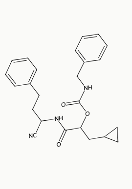 N#CC(CCc1ccccc1)NC(=O)C(CC1CC1)OC(=O)NCc1ccccc1